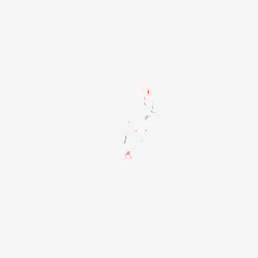 CCCCC1=C(C)C(C)(OC/C(C)=C\C=O)C(C)(C)CC1=O